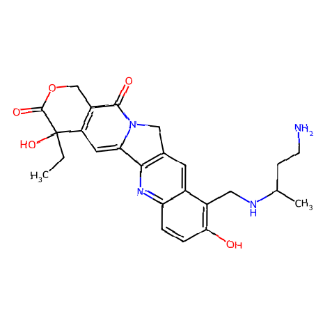 CCC1(O)C(=O)OCc2c1cc1n(c2=O)Cc2cc3c(CNC(C)CCN)c(O)ccc3nc2-1